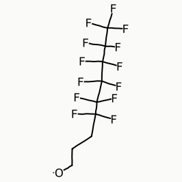 [O]CCCC(F)(F)C(F)(F)C(F)(F)C(F)(F)C(F)(F)C(F)(F)F